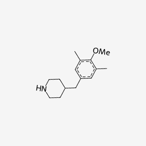 COc1c(C)cc(CC2CCNCC2)cc1C